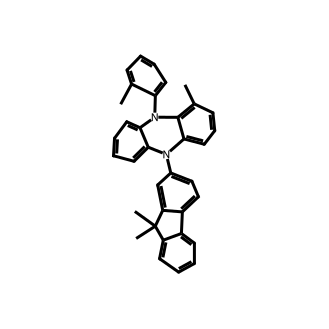 Cc1ccccc1N1c2ccccc2N(c2ccc3c(c2)C(C)(C)c2ccccc2-3)c2cccc(C)c21